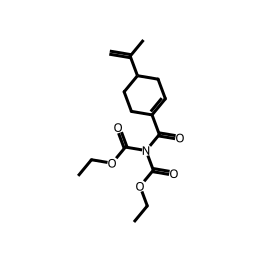 C=C(C)C1CC=C(C(=O)N(C(=O)OCC)C(=O)OCC)CC1